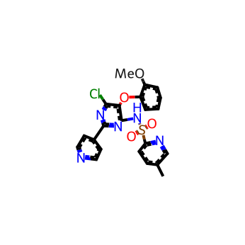 COc1ccccc1Oc1c(Cl)nc(-c2ccncc2)nc1NS(=O)(=O)c1ccc(C)cn1